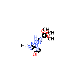 COc1cc(-n2cnc(Nc3nc(N4CCCC4CO)c4cnn(C)c4n3)c2)cc(OC)c1OC